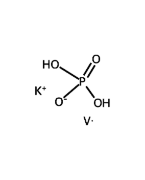 O=P([O-])(O)O.[K+].[V]